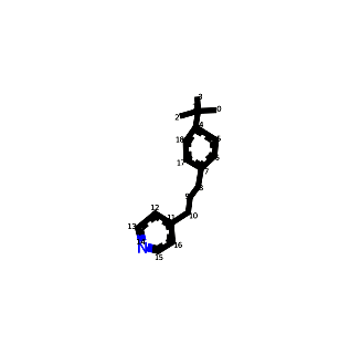 CC(C)(C)c1ccc(CCCc2ccncc2)cc1